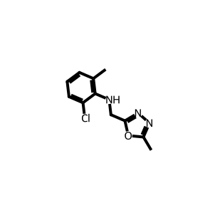 Cc1nnc(CNc2c(C)cccc2Cl)o1